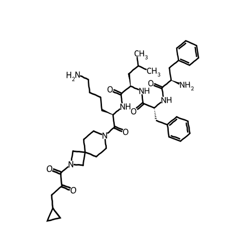 CC(C)C[C@@H](NC(=O)[C@@H](Cc1ccccc1)NC(=O)[C@H](N)Cc1ccccc1)C(=O)N[C@H](CCCCN)C(=O)N1CCC2(CC1)CN(C(=O)C(=O)CC1CC1)C2